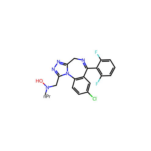 CCCN(O)Cc1nnc2n1-c1ccc(Cl)cc1C(c1c(F)cccc1F)=NC2